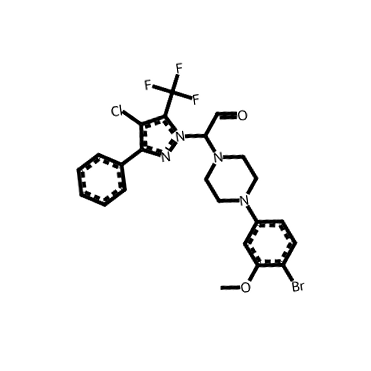 COc1cc(N2CCN(C(C=O)n3nc(-c4ccccc4)c(Cl)c3C(F)(F)F)CC2)ccc1Br